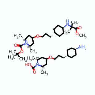 COC(=O)C(C)(C)N[C@H]1CC[C@H](CCCOC2C[C@@H](C)N(C(=O)OC(C)(C)C)[C@@H](C)C2)CC1.C[C@@H]1CC(OCCC[C@H]2CC[C@H](N)CC2)C[C@H](C)N1C(=O)O